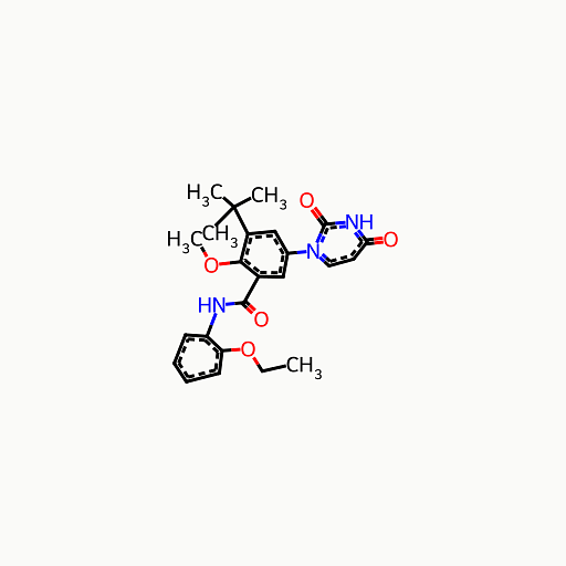 CCOc1ccccc1NC(=O)c1cc(-n2ccc(=O)[nH]c2=O)cc(C(C)(C)C)c1OC